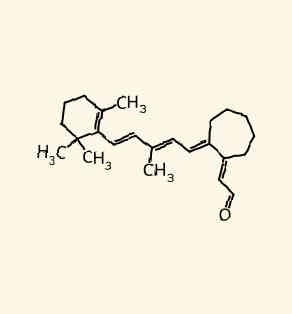 CC1=C(/C=C/C(C)=C/C=C2\CCCCC\C2=C/C=O)C(C)(C)CCC1